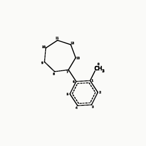 Cc1ccccc1C1CCCCCC1